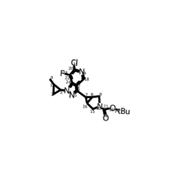 CC1CC1n1nc(C2C3CN(C(=O)OC(C)(C)C)CC32)c2cnc(Cl)c(F)c21